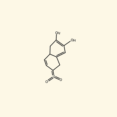 O=S(=O)=C1C=CC2CC(O)=C(O)C=C2C1